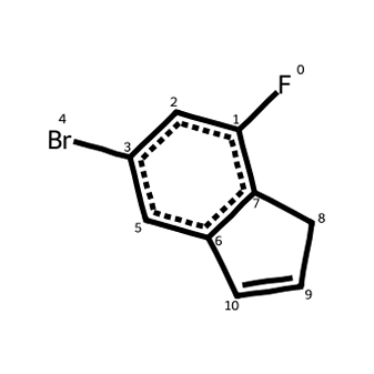 Fc1cc(Br)cc2c1CC=C2